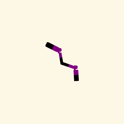 C=PCP=C